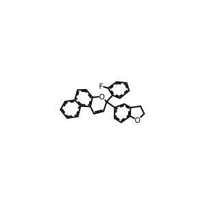 Fc1ccccc1C1(c2ccc3c(c2)CCO3)C=Cc2c(ccc3ccccc23)O1